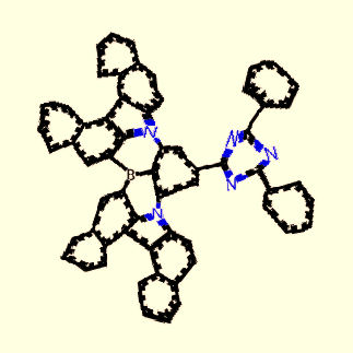 c1ccc(-c2nc(-c3ccccc3)nc(-c3cc4c5c(c3)-n3c6ccc7ccccc7c6c6c7ccccc7cc(c63)B5c3cc5ccccc5c5c6c7ccccc7ccc6n-4c35)n2)cc1